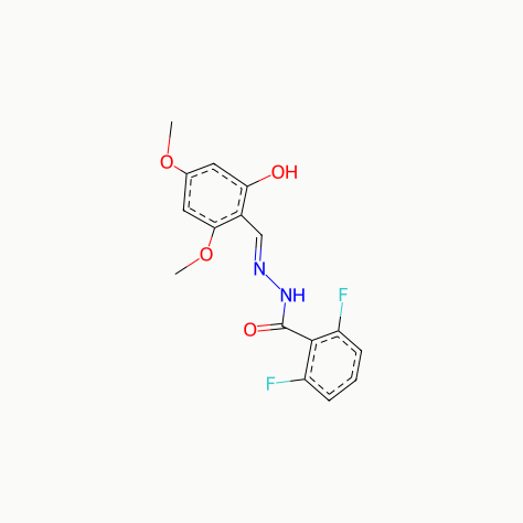 COc1cc(O)c(/C=N/NC(=O)c2c(F)cccc2F)c(OC)c1